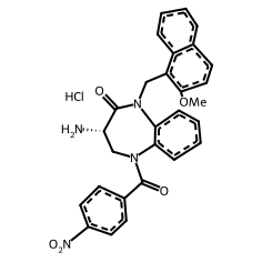 COc1ccc2ccccc2c1CN1C(=O)[C@@H](N)CN(C(=O)c2ccc([N+](=O)[O-])cc2)c2ccccc21.Cl